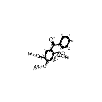 CCO.COc1cc(C(=O)c2ccccc2)c([N+](=O)[O-])cc1OC